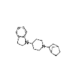 c1ccc2c(c1)CCN2C1CCN(C2CC3CCC2C3)CC1